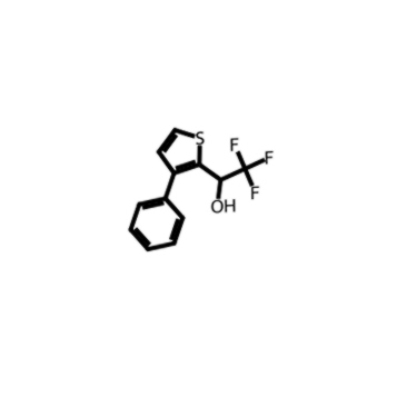 OC(c1sccc1-c1ccccc1)C(F)(F)F